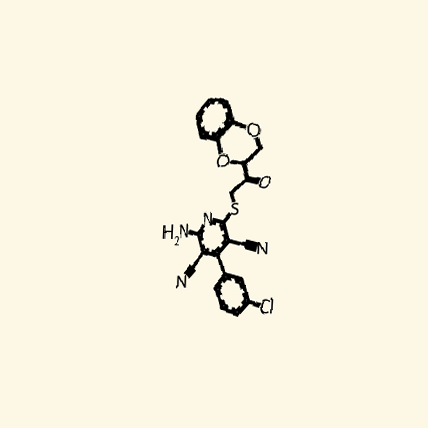 N#Cc1c(N)nc(SCC(=O)C2COc3ccccc3O2)c(C#N)c1-c1cccc(Cl)c1